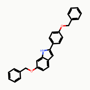 [c]1c(-c2ccc(OCc3ccccc3)cc2)[nH]c2cc(OCc3ccccc3)ccc12